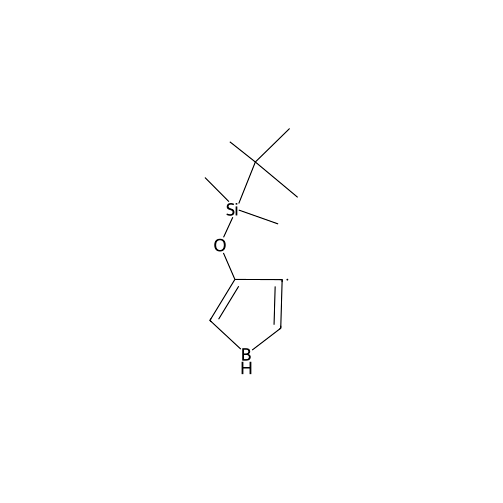 CC(C)(C)[Si](C)(C)OC1=CBC=[C]1